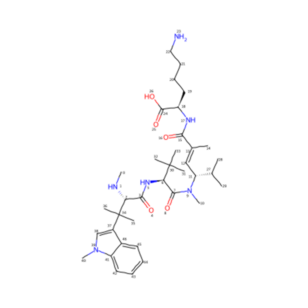 CN[C@H](C(=O)N[C@H](C(=O)N(C)[C@H](/C=C(\C)C(=O)N[C@H](CCCCN)C(=O)O)C(C)C)C(C)(C)C)C(C)(C)c1cn(C)c2ccccc12